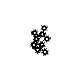 c1ccc(-c2cc(-c3ccccc3)cc(-n3c4ccccc4c4cc5c6ccccc6n(-c6cccc7c6c6ccccc6n7-c6ccccc6)c5cc43)c2)cc1